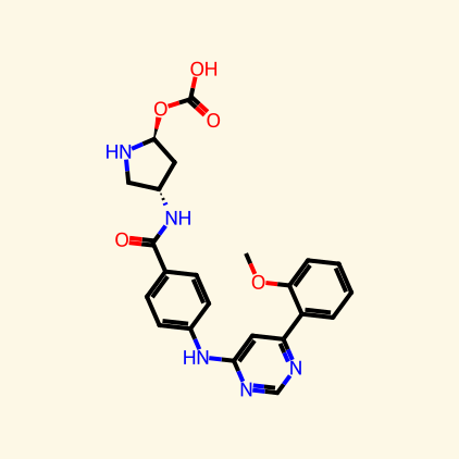 COc1ccccc1-c1cc(Nc2ccc(C(=O)N[C@@H]3CN[C@@H](OC(=O)O)C3)cc2)ncn1